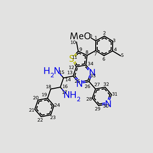 COc1ccc(C)cc1-c1c(C)sc2c(C(N)C(N)Cc3ccccc3)nc(-c3ccncc3)nc12